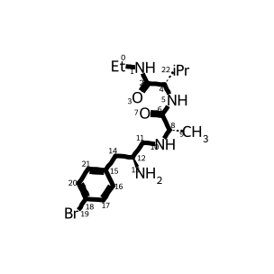 CCNC(=O)[C@@H](NC(=O)[C@H](C)NC[C@@H](N)Cc1ccc(Br)cc1)C(C)C